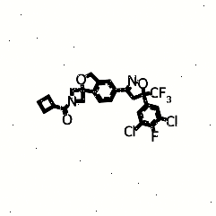 O=C(C1CCC1)N1CC2(C1)OCc1cc(C3=NOC(c4cc(Cl)c(F)c(Cl)c4)(C(F)(F)F)C3)ccc12